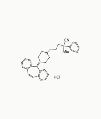 CCCCC(C#N)(CCCN1CCC(=C2c3ccccc3C=Cc3ccccc32)CC1)c1ccccc1.Cl